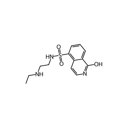 CCNCCNS(=O)(=O)c1cccc2c(O)nccc12